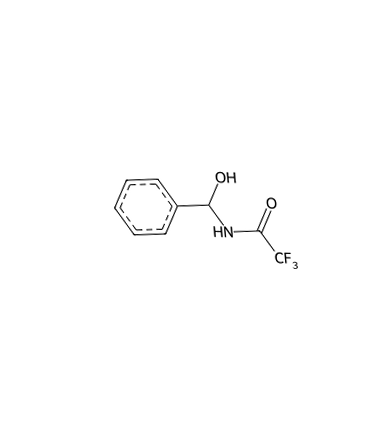 O=C(NC(O)c1ccccc1)C(F)(F)F